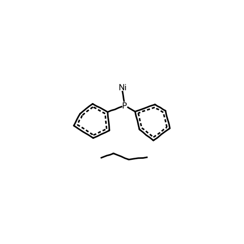 CCCC.[Ni][P](c1ccccc1)c1ccccc1